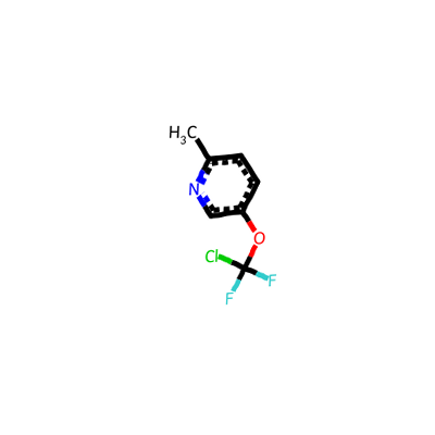 Cc1ccc(OC(F)(F)Cl)cn1